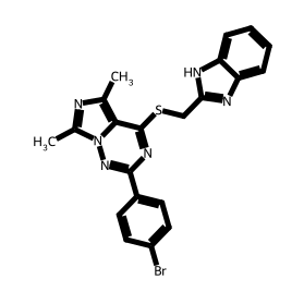 Cc1nc(C)n2nc(-c3ccc(Br)cc3)nc(SCc3nc4ccccc4[nH]3)c12